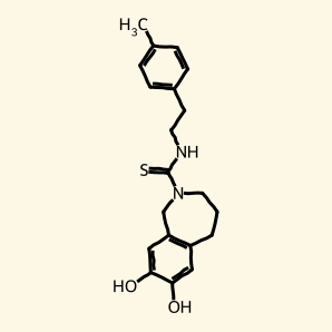 Cc1ccc(CCNC(=S)N2CCCc3cc(O)c(O)cc3C2)cc1